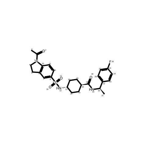 CC(=O)N1CCc2cc(S(=O)(=O)N[C@H]3CC[C@H](C(=O)N[C@H](C)c4ccc(F)cc4)CC3)ccc21